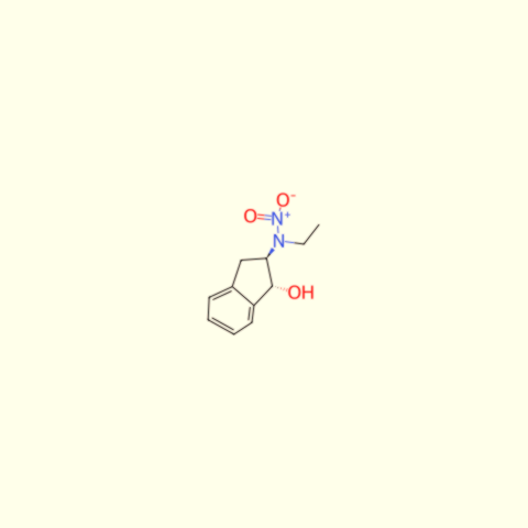 CCN([C@@H]1Cc2ccccc2[C@H]1O)[N+](=O)[O-]